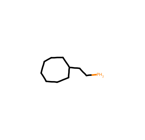 PCCC1CCCCCCC1